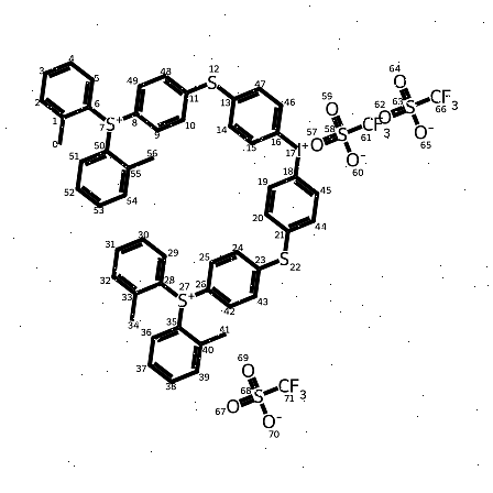 Cc1ccccc1[S+](c1ccc(Sc2ccc([I+]c3ccc(Sc4ccc([S+](c5ccccc5C)c5ccccc5C)cc4)cc3)cc2)cc1)c1ccccc1C.O=S(=O)([O-])C(F)(F)F.O=S(=O)([O-])C(F)(F)F.O=S(=O)([O-])C(F)(F)F